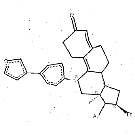 CC[C@@H]1CC2C3CCC4=CC(=O)CCC4=C3[C@@H](c3ccc(-c4ccoc4)cc3)C[C@]2(C)C1C(C)=O